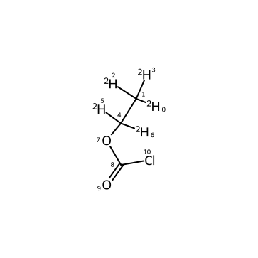 [2H]C([2H])([2H])C([2H])([2H])OC(=O)Cl